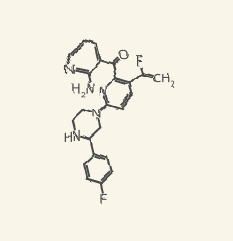 C=C(F)c1ccc(N2CCNC(c3ccc(F)cc3)C2)nc1C(=O)c1cccnc1N